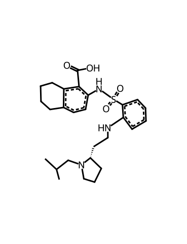 CC(C)CN1CCC[C@H]1CCNc1ccccc1S(=O)(=O)Nc1ccc2c(c1C(=O)O)CCCC2